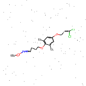 CCc1cc(OCC=C(Cl)Cl)cc(CC)c1OCCC/C=N/OC(C)(C)C